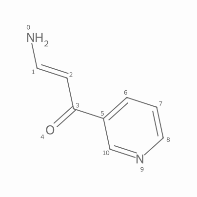 NC=CC(=O)c1cccnc1